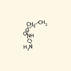 C=CCCCCCC(CC)OCC(=O)NCc1ccc(CN)cc1